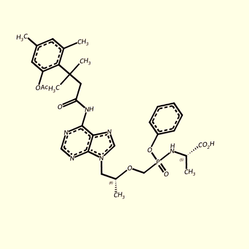 CC(=O)Oc1cc(C)cc(C)c1C(C)(C)CC(=O)Nc1ncnc2c1ncn2C[C@@H](C)OCP(=O)(N[C@@H](C)C(=O)O)Oc1ccccc1